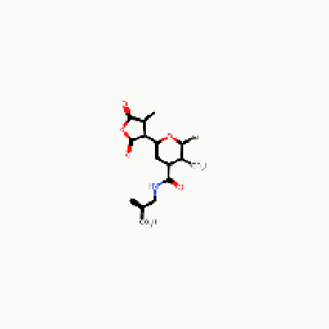 C=C(CNC(=O)C1CC(C2C(=O)OC(=O)C2C)OC(CC)C1C(=O)O)C(=O)O